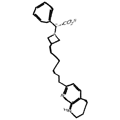 O=C(O)[C@@H](c1ccccc1)N1CC(CCCCCc2ccc3c(n2)NCCC3)C1